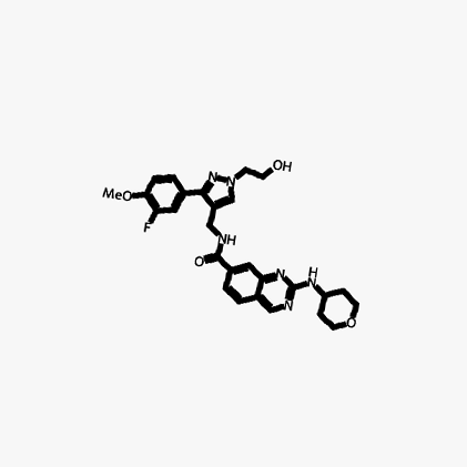 COc1ccc(-c2nn(CCO)cc2CNC(=O)c2ccc3cnc(NC4CCOCC4)nc3c2)cc1F